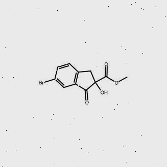 COC(=O)C1(O)Cc2ccc(Br)cc2C1=O